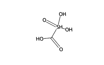 O=C(O)[SH](=O)(O)O